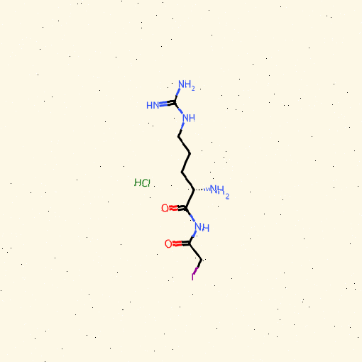 Cl.N=C(N)NCCC[C@H](N)C(=O)NC(=O)CI